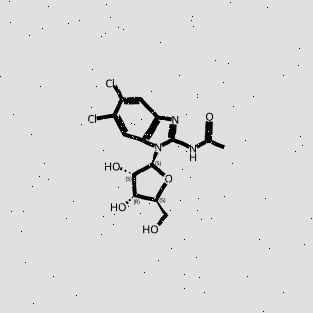 CC(=O)Nc1nc2cc(Cl)c(Cl)cc2n1[C@H]1O[C@@H](CO)[C@H](O)[C@@H]1O